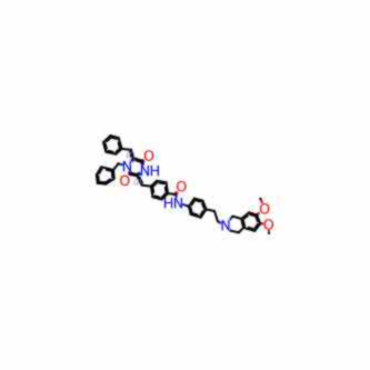 COc1cc2c(cc1OC)CN(CCc1ccc(NC(=O)c3ccc(/C=c4\[nH]c(=O)/c(=C/c5ccccc5)n(Cc5ccccc5)c4=O)cc3)cc1)CC2